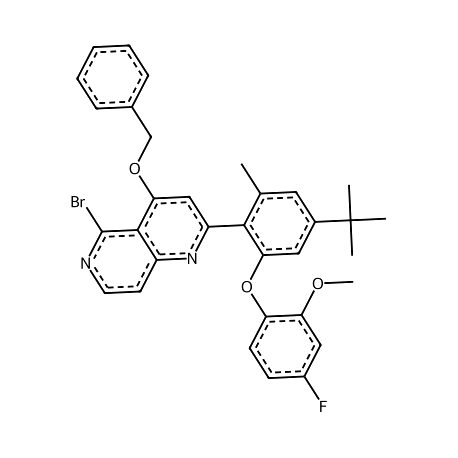 COc1cc(F)ccc1Oc1cc(C(C)(C)C)cc(C)c1-c1cc(OCc2ccccc2)c2c(Br)nccc2n1